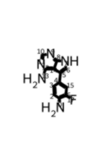 Nc1ccc(-c2c[nH]c3ncnc(N)c23)cc1F